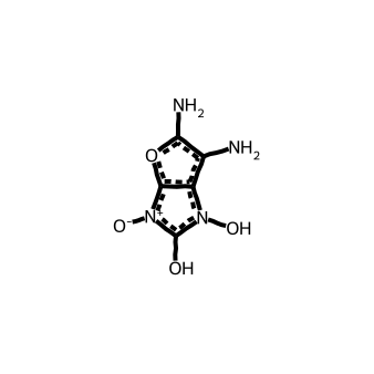 Nc1oc2c(c1N)n(O)c(O)[n+]2[O-]